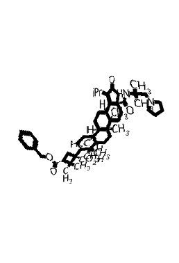 CC(C)C1=C2[C@H]3CC[C@@H]4[C@]5(C)CC[C@H]([C@@]6(C(=O)O)C[C@@H](C(=O)OCc7ccccc7)C6(C)C)C(C)(C)[C@H]5CC[C@@]4(C)[C@]3(C)CC[C@@]2(C(=O)NC(C)(C)CN2CCCC2)CC1=O